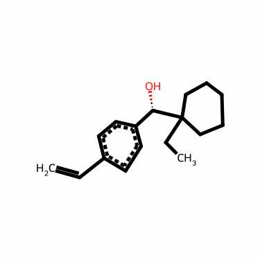 C=Cc1ccc([C@H](O)C2(CC)CCCCC2)cc1